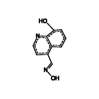 O/N=C/c1ccnc2c(O)cccc12